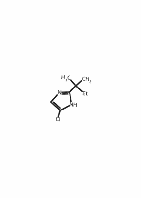 CCC(C)(C)c1ncc(Cl)[nH]1